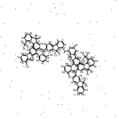 Cc1cc(Cc2cccc3c2C(C)(C)c2cc(N(c4ccc5c(c4)C(C)(C)c4cccc(C(C)(C)C)c4-5)c4c(C)cccc4-c4cccc5c4oc4c(C)cccc45)ccc2-3)c2oc3c(-c4cccc(C)c4N(c4ccc5c(c4)C(C)(C)c4ccccc4-5)c4ccc5c(c4)C(C)(C)c4cccc(C(C)(C)C)c4-5)cccc3c2c1